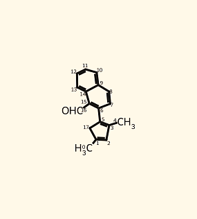 CC1=CC(C)=C(c2ccc3ccccc3c2C=O)C1